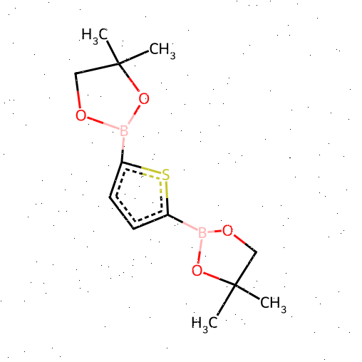 CC1(C)COB(c2ccc(B3OCC(C)(C)O3)s2)O1